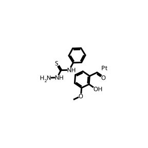 COc1cccc(C=O)c1O.NNC(=S)Nc1ccccc1.[Pt]